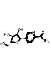 NC(=O)c1ccc([C@@H]2O[C@H](CO)[C@@H](O)[C@H]2O)cn1